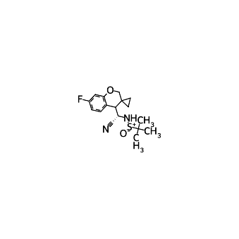 CC(C)(C)[S+]([O-])N[C@H](C#N)C1c2ccc(F)cc2OCC12CC2